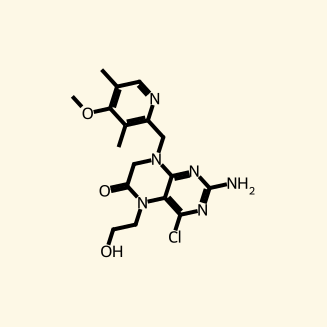 COc1c(C)cnc(CN2CC(=O)N(CCO)c3c(Cl)nc(N)nc32)c1C